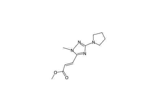 COC(=O)C=Cc1nc(N2CCCC2)nn1C